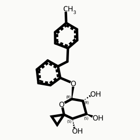 Cc1ccc(Cc2ccccc2O[C@@H]2OC3(CC3)[C@@H](O)[C@H](O)[C@H]2O)cc1